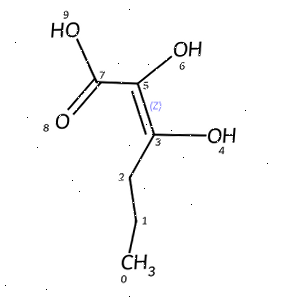 CCC/C(O)=C(/O)C(=O)O